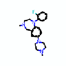 CN1CCN(c2ccc3c(c2)CN(C)CCN3c2ccccc2F)CC1